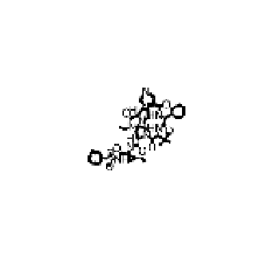 C=C[C@@H]1CC1(NC(=O)[C@@H]1CC2(CN1C(=O)[C@@H](NC(=O)[C@@H](NC(=O)c1cnccn1)C1CCCCC1)C(C)(C)C)N(CC)C(=O)[C@@H]1CCCN12)C(=O)NS(=O)(=O)c1ccccc1